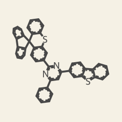 c1ccc(-c2cc(-c3ccc4c(c3)sc3ccccc34)nc(-c3ccc4c(c3)Sc3ccccc3C43c4ccccc4-c4ccccc43)n2)cc1